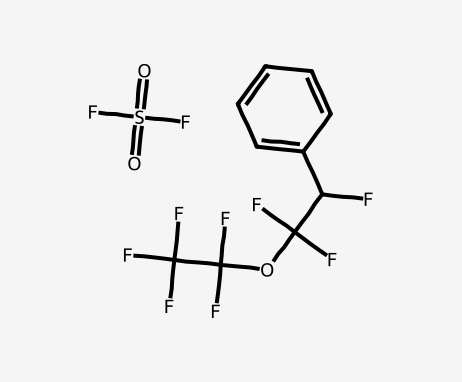 FC(c1ccccc1)C(F)(F)OC(F)(F)C(F)(F)F.O=S(=O)(F)F